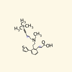 CCN(C/C=C/C#CC(C)(C)C)CCc1c(/C=C/C(=O)O)cccc1-c1ccsc1